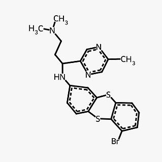 Cc1cnc(C(CCN(C)C)Nc2ccc3c(c2)Sc2cccc(Br)c2S3)cn1